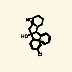 N#CCCC(O)(c1ccc(Cl)cc1)C(c1ccccn1)N1CCCCC1